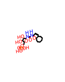 O=C(/C=C\C1CCCCCCC1)NC(=O)NC1OC(COP(=O)(O)O)C(O)C1O